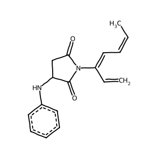 C=C/C(=C\C=C/C)N1C(=O)CC(Nc2ccccc2)C1=O